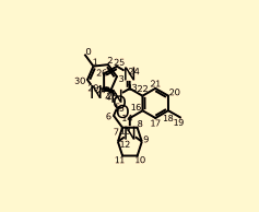 Cc1ccc(OCC2CC3CCC2N3C(=O)c2cc(C)ccc2-c2ncccn2)nc1